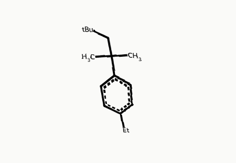 [CH2]Cc1ccc(C(C)(C)CC(C)(C)C)cc1